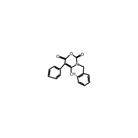 Cc1c(-c2ccccc2)c(=O)oc(=O)n1Cc1ccccc1